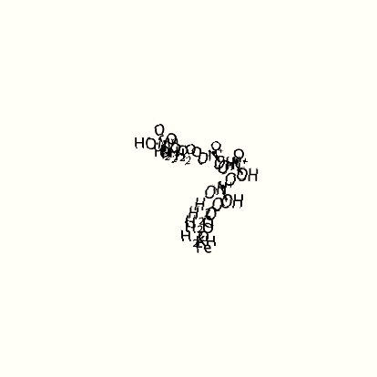 O.O.O.O.O.O.O.O.O.O=[N+]([O-])O.O=[N+]([O-])O.O=[N+]([O-])O.[Fe].[KH].[O]=[Mn](=[O])(=[O])[OH]